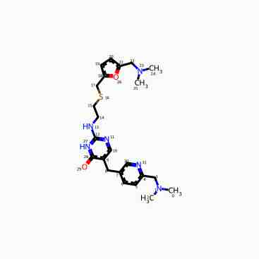 CN(C)Cc1ccc(Cc2cnc(NCCSCc3ccc(CN(C)C)o3)[nH]c2=O)cn1